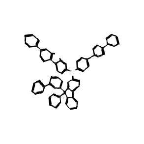 c1ccc(-c2ccc(-c3ccc(N(c4ccc5c(c4)C(c4ccccc4)(c4cccc(-c6ccccc6)c4)c4ccccc4-5)c4ccc5c(c4)sc4cc(-c6ccccc6)ccc45)cc3)cc2)cc1